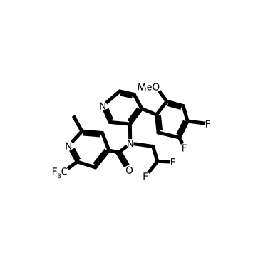 COc1cc(F)c(F)cc1-c1ccncc1N(CC(F)F)C(=O)c1cc(C)nc(C(F)(F)F)c1